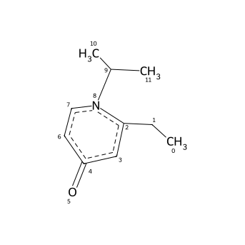 CCc1cc(=O)ccn1C(C)C